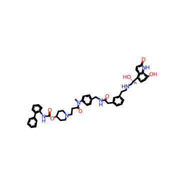 CN(C(=O)CCN1CCC(OC(=O)Nc2ccccc2-c2ccccc2)CC1)c1ccc(CNC(=O)Cc2cccc(CCNC[C@H](O)c3ccc(O)c4[nH]c(=O)ccc34)c2)cc1